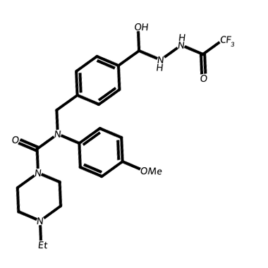 CCN1CCN(C(=O)N(Cc2ccc(C(O)NNC(=O)C(F)(F)F)cc2)c2ccc(OC)cc2)CC1